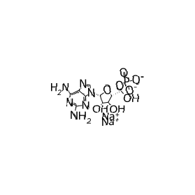 Nc1nc(N)c2ncn([C@@H]3O[C@H](C(O)OP(=O)([O-])[O-])[C@@H](O)[C@@H]3O)c2n1.[Na+].[Na+]